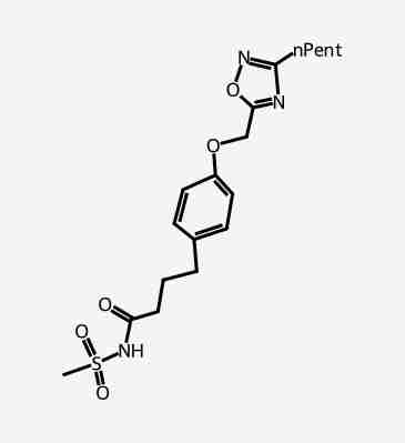 CCCCCc1noc(COc2ccc(CCCC(=O)NS(C)(=O)=O)cc2)n1